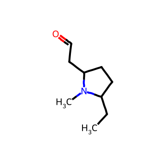 CCC1CCC(CC=O)N1C